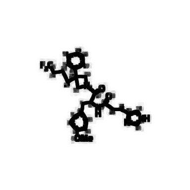 COc1ccc(CC(NC(=O)CCc2c[nH]cn2)C(=O)N2CC(CCCC(F)(F)F)(c3ccccc3)C2)cc1